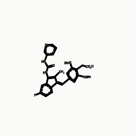 COc1cc(C=C2C(C)=C(NC(=O)Nc3cccnc3)c3cc(F)ccc32)cc(OC)c1CC(=O)O